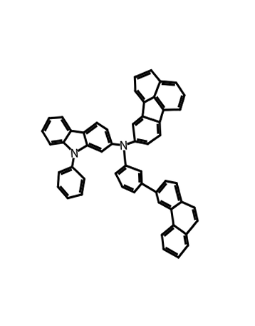 c1ccc(-n2c3ccccc3c3ccc(N(c4cccc(-c5ccc6ccc7ccccc7c6c5)c4)c4ccc5c(c4)-c4cccc6cccc-5c46)cc32)cc1